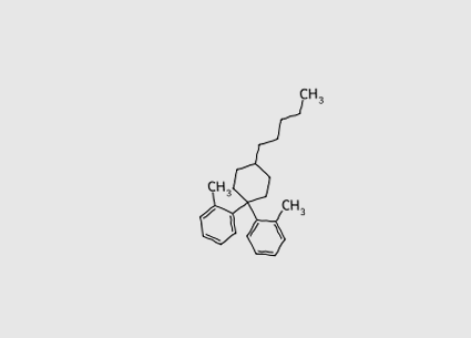 CCCCCC1CCC(c2ccccc2C)(c2ccccc2C)CC1